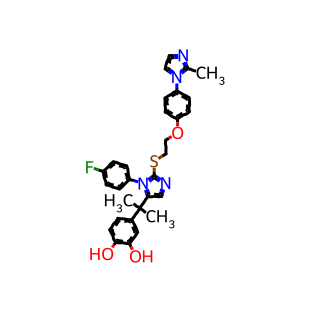 Cc1nccn1-c1ccc(OCCSc2ncc(C(C)(C)c3ccc(O)c(O)c3)n2-c2ccc(F)cc2)cc1